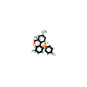 N#C[C@@H]1CC[C@@]2(S(=O)(=O)c3ccc(Cl)cc3)c3c(F)ccc(F)c3OC[C@H]2C1